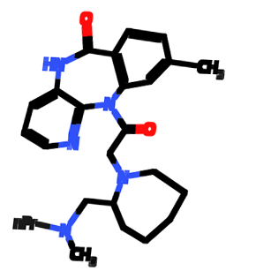 CCCN(C)CC1CCCCCN1CC(=O)N1c2cc(C)ccc2C(=O)Nc2cccnc21